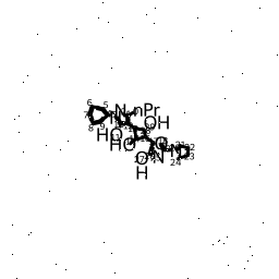 CCCc1nn(-c2ccccc2)c(O)c1C1C(O)C(c2oc(N3CCCC3)nc2O)C1O